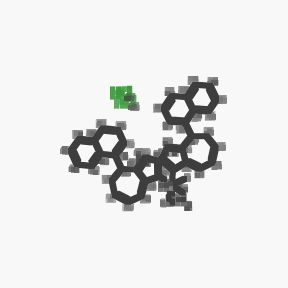 CCC1=[C]([Hf]([CH3])([CH3])(=[SiH2])[C]2=C(CC)C=C3C2=CC=CCC3c2cccc3ccccc23)C2=CC=CCC(c3cccc4ccccc34)C2=C1.Cl.Cl